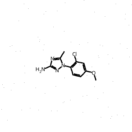 COc1ccc(-n2nc(N)nc2C)c(Cl)c1